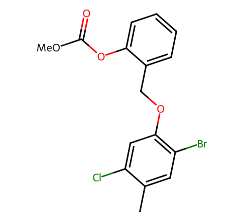 COC(=O)Oc1ccccc1COc1cc(Cl)c(C)cc1Br